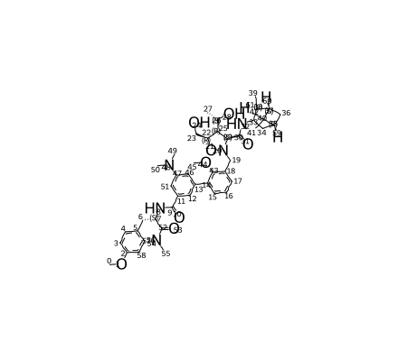 COc1ccc(C[C@H](NC(=O)c2cc(-c3cccc(CN4O[C@@H](CO)[C@@H]([C@H](C)O)[C@H]4C(=O)NC4C[C@H]5C[C@@H]([C@@H]4C)C5(C)C)c3OC)cc(N(C)C)c2)C(=O)N(C)C)cc1